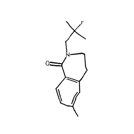 Cc1ccc2c(c1)CCN(CC(C)(C)F)C2=O